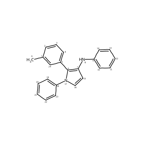 Cc1cccc(-c2c(Nc3ccccc3)ccn2-c2ccccc2)c1